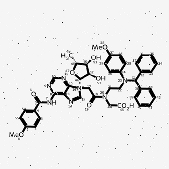 COc1ccc(C(=O)Nc2ncnc3c2N=C[N+]3(CC(=O)N(CCN(c2ccc(OC)cc2)C(c2ccccc2)c2ccccc2)CC(=O)O)[C@@H]2O[C@H](C)[C@@H](O)[C@H]2O)cc1